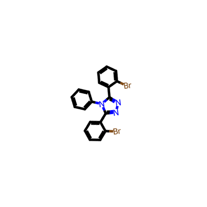 Brc1ccccc1-c1nnc(-c2ccccc2Br)n1-c1ccccc1